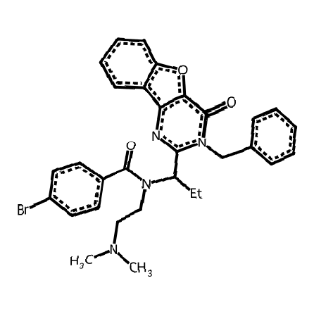 CCC(c1nc2c(oc3ccccc32)c(=O)n1Cc1ccccc1)N(CCN(C)C)C(=O)c1ccc(Br)cc1